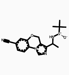 CC(N[S@@+]([O-])C(C)(C)C)c1ncn2c1COc1cc(C#N)ccc1-2